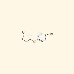 CCC1CCC(Oc2cnc(C#N)cn2)C1